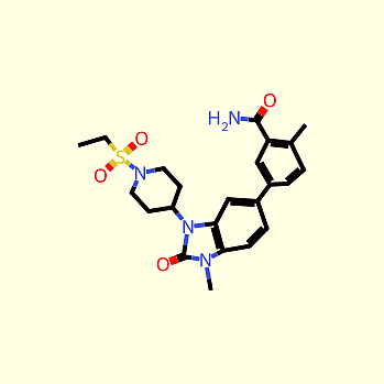 CCS(=O)(=O)N1CCC(n2c(=O)n(C)c3ccc(-c4ccc(C)c(C(N)=O)c4)cc32)CC1